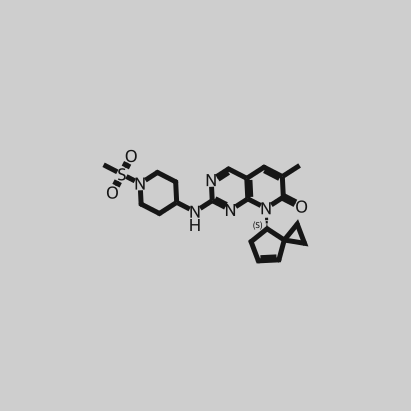 Cc1cc2cnc(NC3CCN(S(C)(=O)=O)CC3)nc2n([C@H]2CC=CC23CC3)c1=O